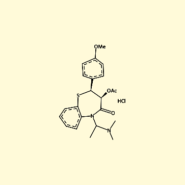 COc1ccc([C@@H]2Sc3ccccc3N(C(C)N(C)C)C(=O)[C@@H]2OC(C)=O)cc1.Cl